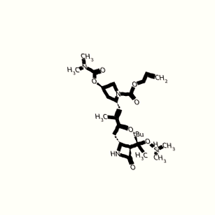 C=CCOC(=O)N1C[C@H](OC(=O)N(C)C)C[C@H]1/C=C(\C)C(=O)C[C@H]1NC(=O)[C@@H]1[C@@](C)(O[SiH](C)C)C(C)(C)C